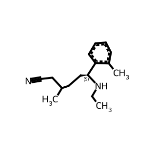 CCN[C@@H](CCC(C)CC#N)c1ccccc1C